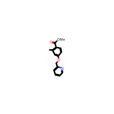 COC(=O)c1ccc(OCc2ccccn2)cc1C